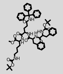 COC(=O)C(CCCCNC(=O)OC(C)(C)C)NC(=O)C(CCC(=O)NC(c1ccccc1)(c1ccccc1)c1ccccc1)NC(=O)C(Cc1ccccc1)NC(=O)C(Cc1ccccc1)NC(=O)OC(C)(C)C